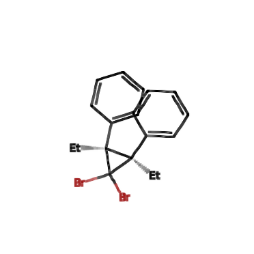 CC[C@]1(c2ccccc2)C(Br)(Br)[C@@]1(CC)c1ccccc1